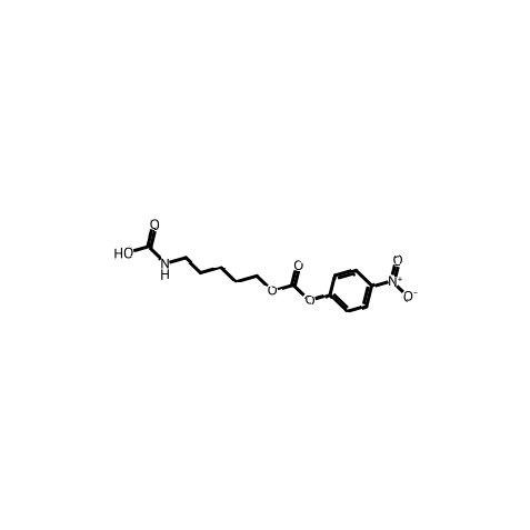 O=C(O)NCCCCCOC(=O)Oc1ccc([N+](=O)[O-])cc1